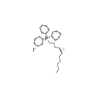 CCCCC/C=C\CCC[P+](c1ccccc1)(c1ccccc1)c1ccccc1.[I-]